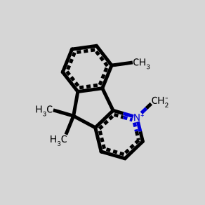 [CH2-][n+]1cccc2c1-c1c(C)cccc1C2(C)C